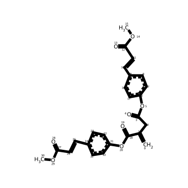 C=C(CC(=O)Oc1ccc(/C=C/C(=O)OC)cc1)C(=O)Oc1ccc(/C=C/C(=O)OC)cc1